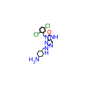 N[C@H]1CC[C@@H](CNc2ncc3[nH]c(=O)n(Cc4cc(Cl)ccc4Cl)c3n2)CC1